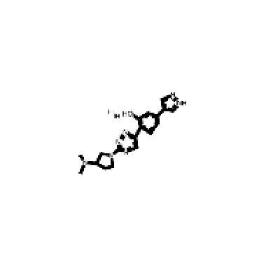 CN(C)C1CCN(c2ncc(-c3ccc(-c4cn[nH]c4)cc3O)nn2)C1.I.I